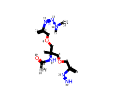 C=C(COCC(C)(COCC(=C)/N=N\N(C)CC)NC(=O)CCC)N=N